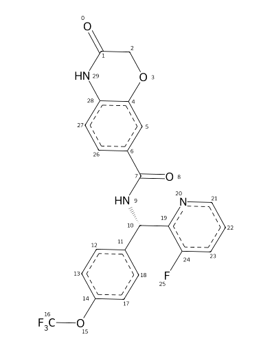 O=C1COc2cc(C(=O)N[C@@H](c3ccc(OC(F)(F)F)cc3)c3ncccc3F)ccc2N1